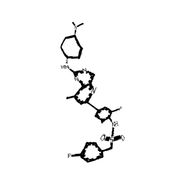 Cc1cc(-c2ccc(NS(=O)(=O)Cc3ccc(F)cc3)c(F)c2)nc2cnc(N[C@H]3CC[C@H](N(C)C)CC3)nc12